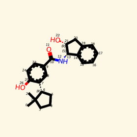 CC1(C)CCC[C@H]1c1cc(C(=O)N[C@H]2c3ccccc3C[C@H]2O)ccc1O